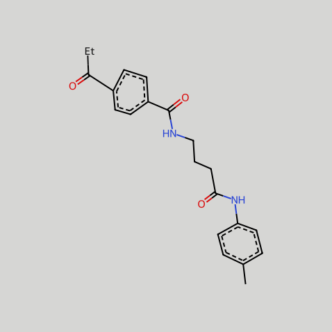 CCC(=O)c1ccc(C(=O)NCCCC(=O)Nc2ccc(C)cc2)cc1